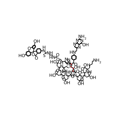 NCCCC[C@@H](NC(=O)[C@@H](CC(=O)O)NC(=O)[C@@H](CC(=O)O)NC(=O)[C@H](CCCn1cc(CCOC(=O)NCCNC(=S)Nc2ccc3c(c2)C(=O)OC32c3ccc(O)cc3Oc3cc(O)ccc32)nn1)NC(=O)[C@@H](CC(=O)O)NC(=O)[C@@H](CC(=O)O)NC(=O)[C@@H](CC(=O)O)NC(=O)CC[C@H](NC(=O)c1ccc(NCc2cnc3nc(N)nc(O)c3n2)cc1)C(=O)O)C(=O)O